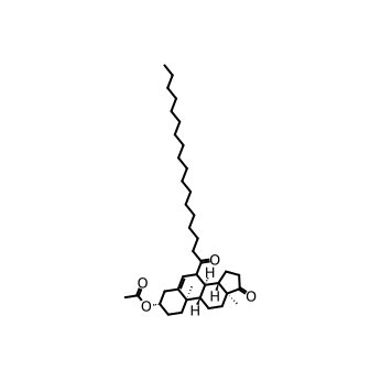 CCCCCCCCCCCCCCCCCC(=O)C1C=C2C[C@@H](OC(C)=O)CC[C@]2(C)[C@H]2CC[C@]3(C)C(=O)CC[C@H]3[C@H]12